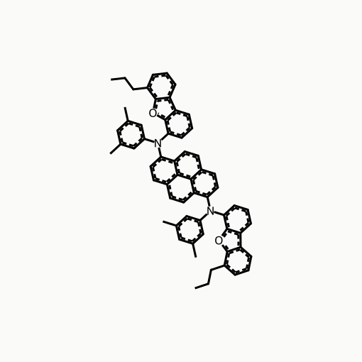 CCCc1cccc2c1oc1c(N(c3cc(C)cc(C)c3)c3ccc4ccc5c(N(c6cc(C)cc(C)c6)c6cccc7c6oc6c(CCC)cccc67)ccc6ccc3c4c65)cccc12